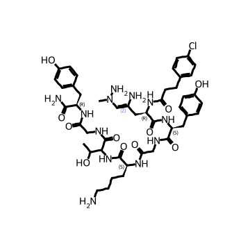 CC(O)C(NC(=O)[C@H](CCCCN)NC(=O)CNC(=O)[C@H](Cc1ccc(O)cc1)NC(=O)[C@@H](C/C(N)=C/N(C)N)NC(=O)CCc1ccc(Cl)cc1)C(=O)NCC(=O)N[C@H](Cc1ccc(O)cc1)C(N)=O